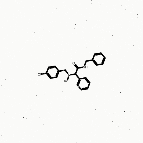 CC(=O)N(Cc1ccc(Cl)cc1)C(C(=O)NCc1ccccc1)c1ccccc1